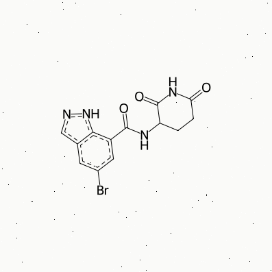 O=C1CCC(NC(=O)c2cc(Br)cc3cn[nH]c23)C(=O)N1